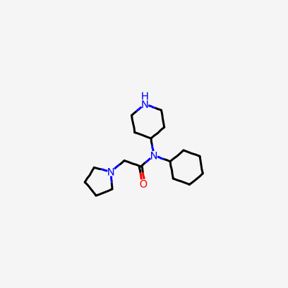 O=C(CN1CCCC1)N(C1CCCCC1)C1CCNCC1